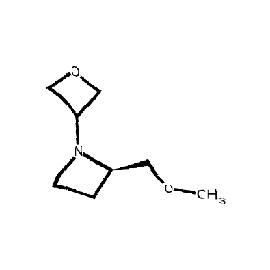 COC[C@H]1CCN1C1COC1